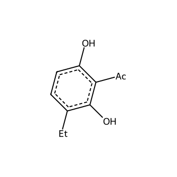 CCc1ccc(O)c(C(C)=O)c1O